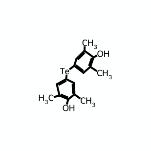 Cc1cc([Te]c2cc(C)c(O)c(C)c2)cc(C)c1O